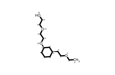 CCOCC[C@H]1CCC[C@@H](OCCOCCO)C1